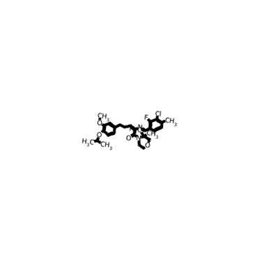 COc1cc(CC/C=C(/N=C/c2ccc(C)c(Cl)c2F)C(=O)N2CCOCC2(C)C)ccc1OC(C)C